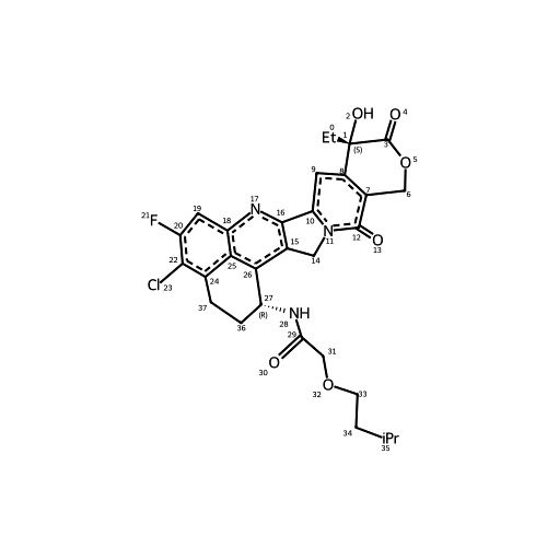 CC[C@@]1(O)C(=O)OCc2c1cc1n(c2=O)Cc2c-1nc1cc(F)c(Cl)c3c1c2[C@H](NC(=O)COCCC(C)C)CC3